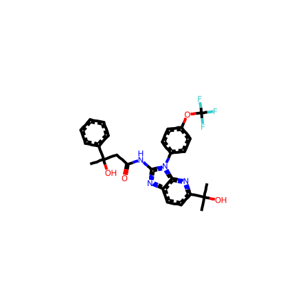 CC(C)(O)c1ccc2nc(NC(=O)CC(C)(O)c3ccccc3)n(-c3ccc(OC(F)(F)F)cc3)c2n1